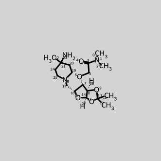 CN(C)C(=O)CO[C@@H]1[C@H]2OC(C)(C)O[C@H]2O[C@@H]1CN1CCC(C)(N)CC1